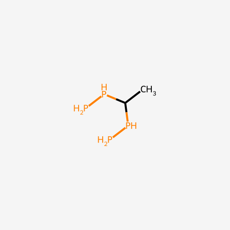 CC(PP)PP